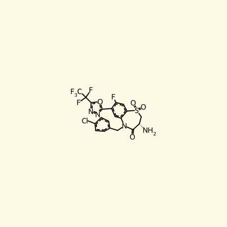 N[C@H]1CS(=O)(=O)c2cc(F)c(-c3nnc(C(F)(F)C(F)(F)F)o3)cc2N(Cc2ccc(Cl)cc2)C1=O